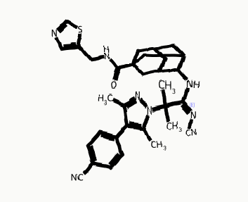 Cc1nn(C(C)(C)/C(=N\C#N)NC2C3CC4CC2CC(C(=O)NCc2cncs2)(C4)C3)c(C)c1-c1ccc(C#N)cc1